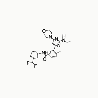 CCNc1nc(-c2cc(C(=O)Nc3cccc(C(F)F)c3)ccc2C)cc(N2CCOCC2)n1